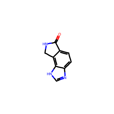 O=C1NCc2c1ccc1nc[nH]c21